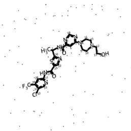 CC(NC(=O)c1cc(N2CCN(CCO)CC2)ncn1)c1ncc(C(=O)Nc2cc(C(F)(F)F)c(Cl)cn2)s1